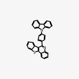 c1ccc2c(c1)nc(-c1ccc(-n3c4ccccc4c4ccccc43)cc1)c1c3ccccc3sc21